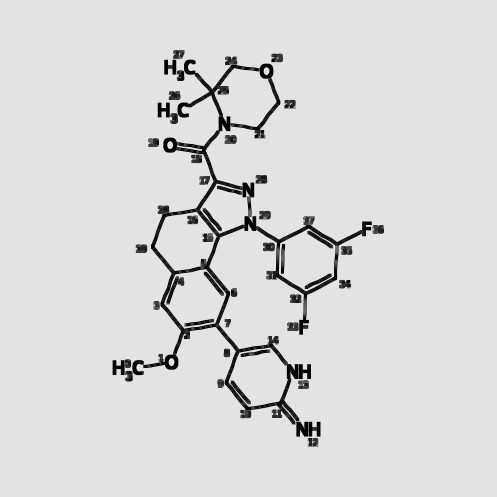 COc1cc2c(cc1-c1ccc(=N)[nH]c1)-c1c(c(C(=O)N3CCOCC3(C)C)nn1-c1cc(F)cc(F)c1)CC2